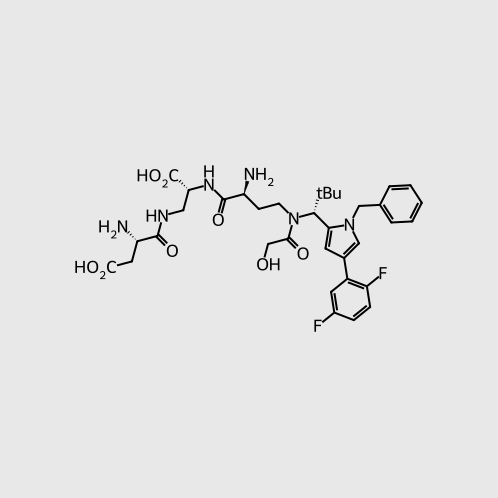 CC(C)(C)[C@H](c1cc(-c2cc(F)ccc2F)cn1Cc1ccccc1)N(CC[C@H](N)C(=O)N[C@H](CNC(=O)[C@@H](N)CC(=O)O)C(=O)O)C(=O)CO